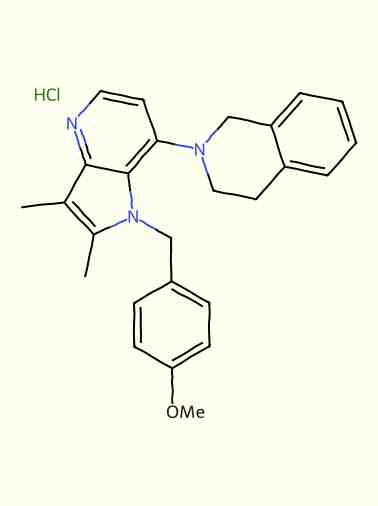 COc1ccc(Cn2c(C)c(C)c3nccc(N4CCc5ccccc5C4)c32)cc1.Cl